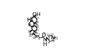 C[C@H](CCC(=O)NN1CCN(C)CC1)[C@H]1CC=C2C3=C(CC[C@@]21C)[C@@]1(C)CC[C@H](O)C[C@@H]1CC3